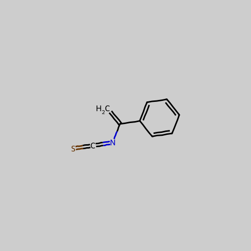 C=C(N=C=S)c1ccccc1